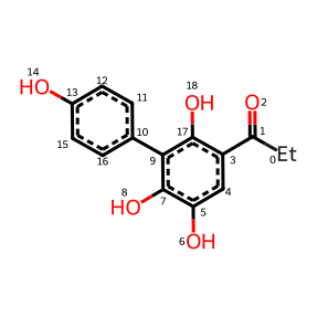 CCC(=O)c1cc(O)c(O)c(-c2ccc(O)cc2)c1O